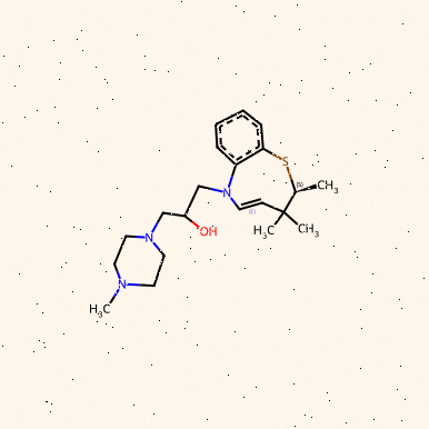 C[C@@H]1Sc2ccccc2N(CC(O)CN2CCN(C)CC2)/C=C/C1(C)C